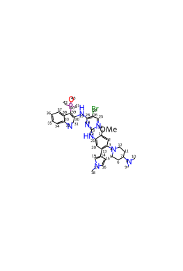 COc1cc(N2CCC(N(C)C)CC2)c(-c2ccn(C)c2)cc1Nc1ncc(Br)c(Nc2cnc3ccccc3c2P(C)(C)=O)n1